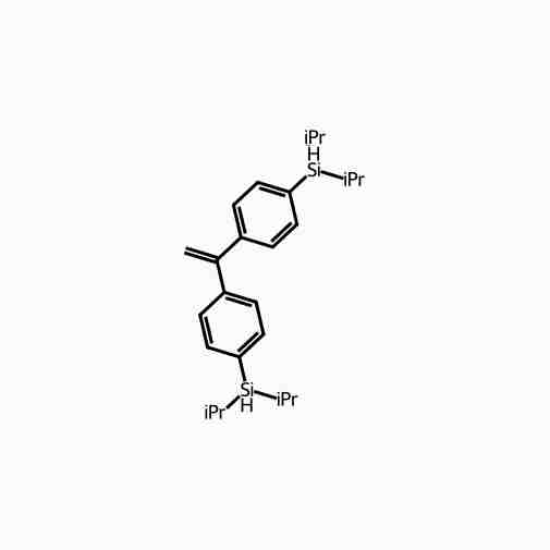 C=C(c1ccc([SiH](C(C)C)C(C)C)cc1)c1ccc([SiH](C(C)C)C(C)C)cc1